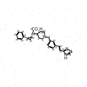 O=C(O)N(C1CCN(Cc2cccc(C=Cc3nnn[nH]3)c2)CC1)[C@@H]1C[C@H]1c1ccccc1